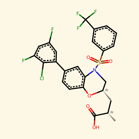 C[C@@H](C[C@H]1CN(S(=O)(=O)c2cccc(C(F)(F)F)c2)c2cc(-c3cc(F)cc(F)c3Cl)ccc2O1)C(=O)O